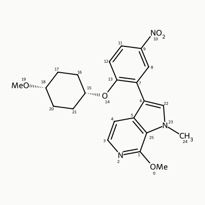 COc1nccc2c(-c3cc([N+](=O)[O-])ccc3O[C@H]3CC[C@@H](OC)CC3)cn(C)c12